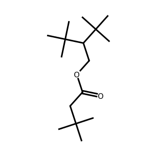 CC(C)(C)CC(=O)OCC(C(C)(C)C)C(C)(C)C